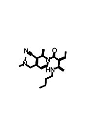 C=C(NCCCC)/C(=C/C)C(=O)N1C=CC(CN(C)C)=C(C#N)C1=C